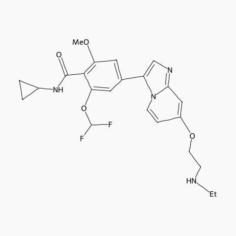 CCNCCOc1ccn2c(-c3cc(OC)c(C(=O)NC4CC4)c(OC(F)F)c3)cnc2c1